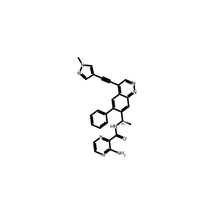 C[C@@H](NC(=O)c1nccnc1N)c1cc2nncc(C#Cc3cnn(C)c3)c2cc1-c1ccccc1